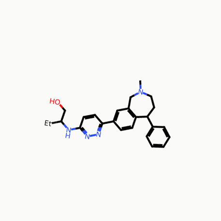 CCC(CO)Nc1ccc(-c2ccc3c(c2)CN(C)CCC3c2ccccc2)nn1